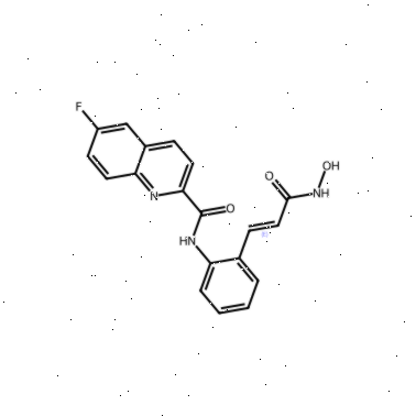 O=C(/C=C/c1ccccc1NC(=O)c1ccc2cc(F)ccc2n1)NO